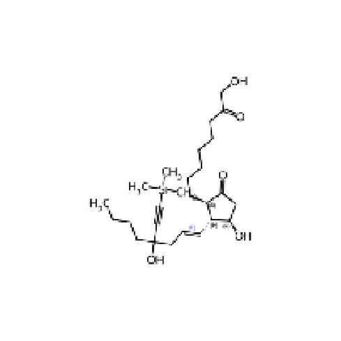 CCCCC(O)(C#C[Si](C)(C)C)C/C=C/[C@H]1[C@H](O)CC(=O)[C@@H]1CCCCCCC(=O)CO